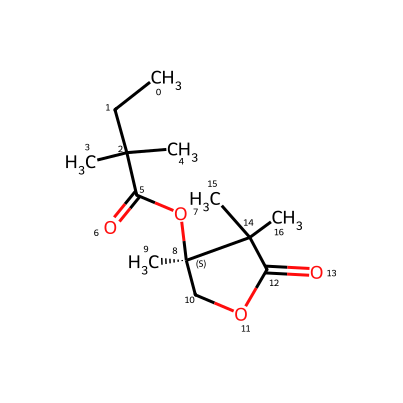 CCC(C)(C)C(=O)O[C@]1(C)COC(=O)C1(C)C